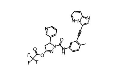 Cc1ccc(NC(=O)N2N=C(OC(=O)C(F)(F)F)CC2c2cccnc2)cc1C#Cc1cnc2cccnn12